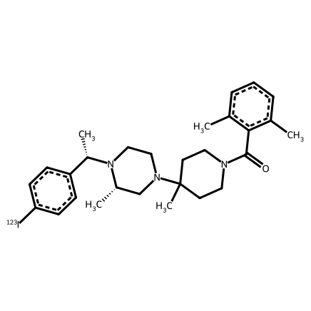 Cc1cccc(C)c1C(=O)N1CCC(C)(N2CCN([C@@H](C)c3ccc([123I])cc3)[C@@H](C)C2)CC1